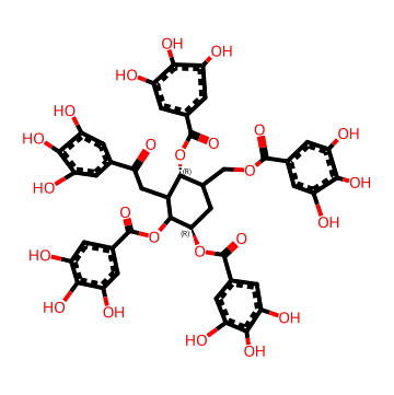 O=C(CC1C(OC(=O)c2cc(O)c(O)c(O)c2)[C@H](OC(=O)c2cc(O)c(O)c(O)c2)CC(COC(=O)c2cc(O)c(O)c(O)c2)[C@H]1OC(=O)c1cc(O)c(O)c(O)c1)c1cc(O)c(O)c(O)c1